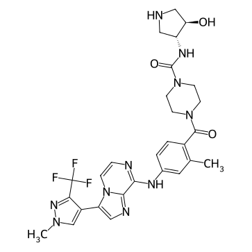 Cc1cc(Nc2nccn3c(-c4cn(C)nc4C(F)(F)F)cnc23)ccc1C(=O)N1CCN(C(=O)N[C@@H]2CNC[C@H]2O)CC1